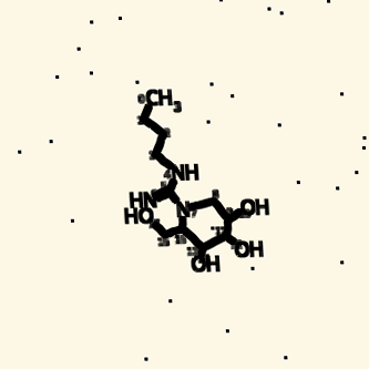 CCCCNC(=N)N1CC(O)C(O)C(O)C1CO